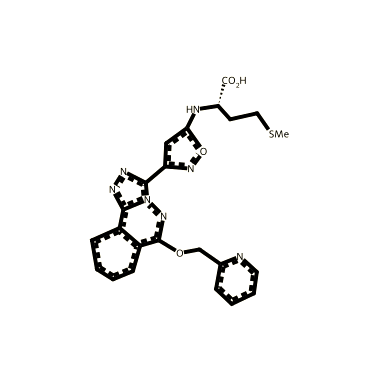 CSCC[C@H](Nc1cc(-c2nnc3c4ccccc4c(OCc4ccccn4)nn23)no1)C(=O)O